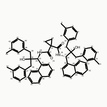 Cc1cccc(CC(O)(Cc2cccc(C)c2)[C@@H](NC(=O)C2(C(=O)N[C@@H](c3cccc4ccccc34)C(O)(Cc3cccc(C)c3)Cc3cccc(C)c3)CC2)c2cccc3ccccc23)c1